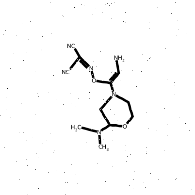 CN(C)C1CN(C(=CN)ON=C(C#N)C#N)CCO1